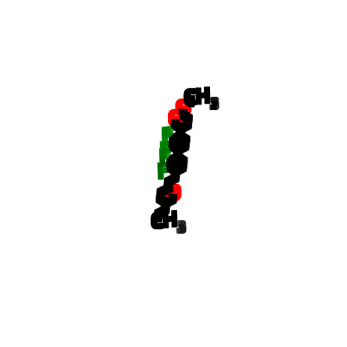 CCCC1CCC(CCc2ccc(-c3ccc(C4CCC(OCC)OC4)c(F)c3F)c(F)c2F)OC1